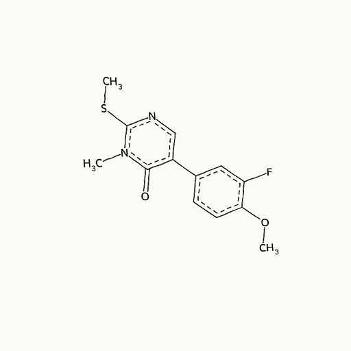 COc1ccc(-c2cnc(SC)n(C)c2=O)cc1F